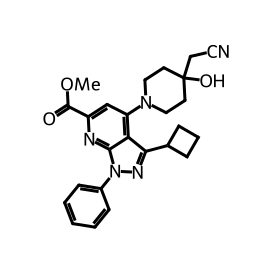 COC(=O)c1cc(N2CCC(O)(CC#N)CC2)c2c(C3CCC3)nn(-c3ccccc3)c2n1